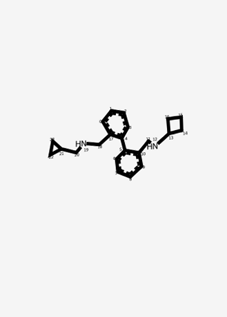 [c]1cccc(-c2ccccc2CNC2CCC2)c1CNCC1CC1